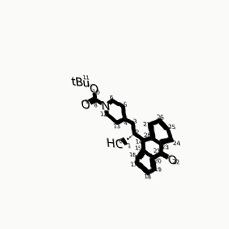 C#C[C@H](CC1CCN(C(=O)OC(C)(C)C)CC1)C1c2ccccc2C(=O)c2ccccc21